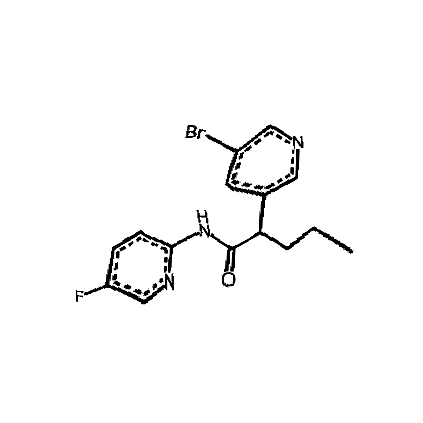 CCCC(C(=O)Nc1ccc(F)cn1)c1cncc(Br)c1